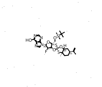 C=C(C)[C@H]1CC[C@@]2(C)S[P@](=S)(O[C@H]3[C@@H](F)[C@H](n4cnc5c(O)ncnc54)O[C@@H]3CO[Si](C)(C)C(C)(C)C)O[C@@H]2C1